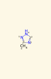 C.c1nc[nH]n1